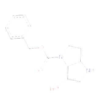 O=C(OCc1ccccc1)N1CCC2NCC(O)C21